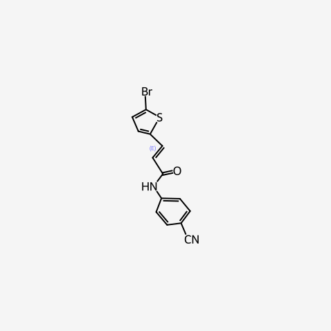 N#Cc1ccc(NC(=O)/C=C/c2ccc(Br)s2)cc1